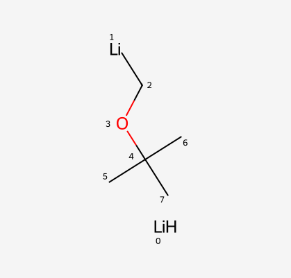 [LiH].[Li][CH2]OC(C)(C)C